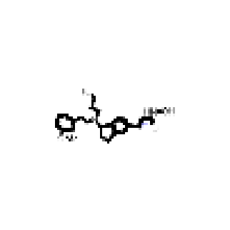 COc1cccc(CCN(CCCO)C2CCc3cc(/C=C/C(=O)NO)ccc32)c1